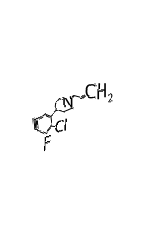 C=CCN1CCC(c2cccc(F)c2Cl)CC1